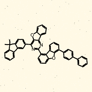 CC1(C)c2ccccc2-c2cc(-c3nc(-c4cccc5oc6c(-c7ccc(-c8ccccc8)cc7)cccc6c45)nc4c3oc3ccccc34)ccc21